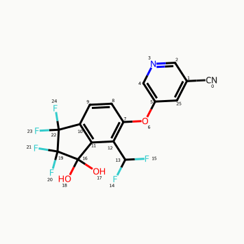 N#Cc1cncc(Oc2ccc3c(c2C(F)F)C(O)(O)C(F)(F)C3(F)F)c1